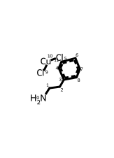 NCCc1ccccc1.[Cl][Cu][Cl]